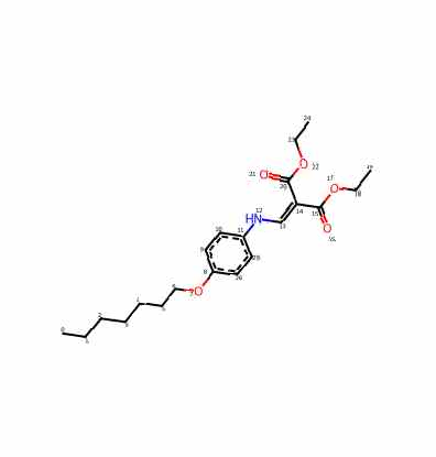 CCCCCCCOc1ccc(NC=C(C(=O)OCC)C(=O)OCC)cc1